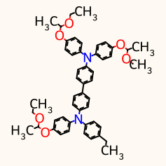 CCOC(C)Oc1ccc(N(c2ccc(CC)cc2)c2ccc(-c3ccc(N(c4ccc(OC(C)OC)cc4)c4ccc(OC(C)OCC)cc4)cc3)cc2)cc1